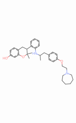 CC(Cc1ccc(OCCN2CCCCCC2)cc1)Nc1ccccc1C1Cc2ccc(O)cc2OC1(C)C